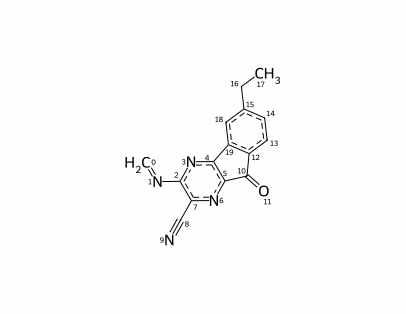 C=Nc1nc2c(nc1C#N)C(=O)c1ccc(CC)cc1-2